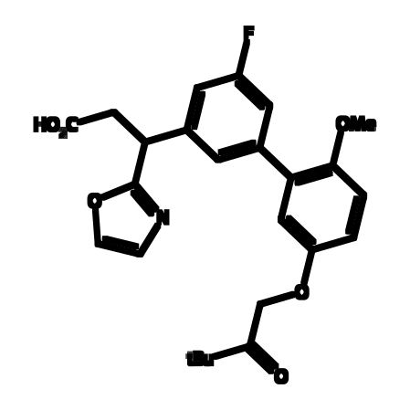 COc1ccc(OCC(=O)C(C)(C)C)cc1-c1cc(F)cc(C(CC(=O)O)c2ncco2)c1